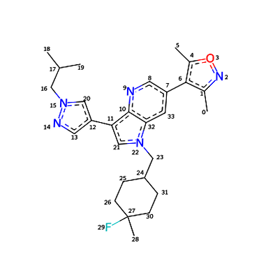 Cc1noc(C)c1-c1cnc2c(-c3cnn(CC(C)C)c3)cn(CC3CCC(C)(F)CC3)c2c1